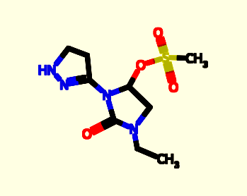 CCN1CC(OS(C)(=O)=O)N(C2=NNCC2)C1=O